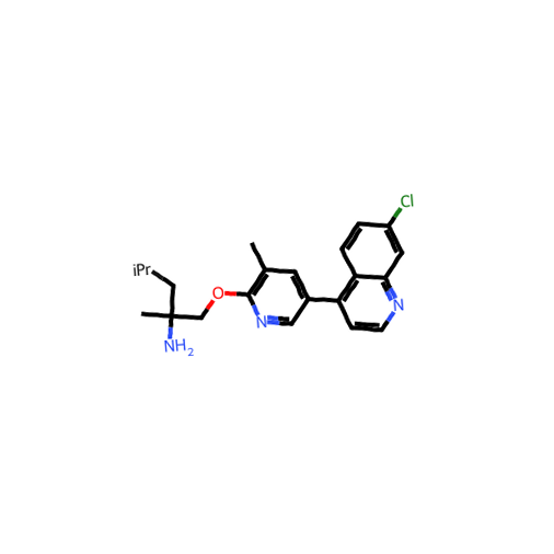 Cc1cc(-c2ccnc3cc(Cl)ccc23)cnc1OCC(C)(N)CC(C)C